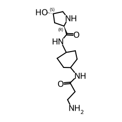 NCCC(=O)NC1CCC(NC(=O)[C@H]2C[C@H](O)CN2)CC1